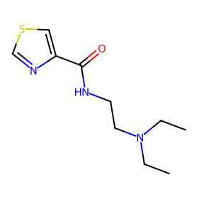 CCN(CC)CCNC(=O)c1cscn1